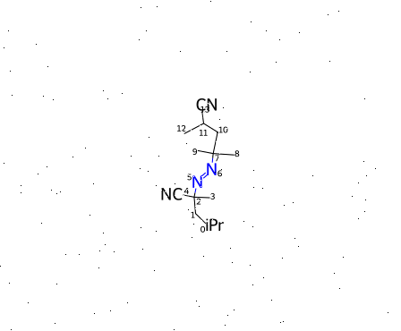 CC(C)CC(C)(C#N)/N=N/C(C)(C)CC(C)C#N